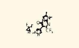 Cc1cn2c(=O)c(-c3cnn(C[C@@H]4CC4(F)F)c3)c(C(F)(F)F)nc2n1C